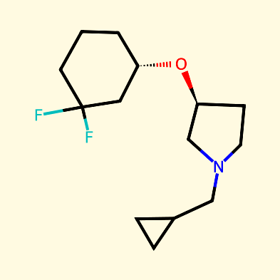 FC1(F)CCC[C@H](O[C@H]2CCN(CC3CC3)C2)C1